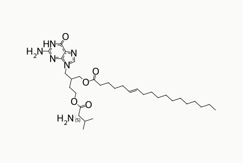 CCCCCCCCCCCC=CCCCCC(=O)OCC(CCOC(=O)[C@@H](N)C(C)C)Cn1cnc2c(=O)[nH]c(N)nc21